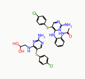 CC(=O)Nc1ccccc1Nc1nc(N)ncc1Sc1ccc(Cl)cc1.Nc1ncc(Sc2ccc(Cl)cc2)c(NCC(O)O)n1